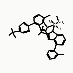 CC1=Cc2c(-c3ccc(C(C)(C)C)cc3)ccc(C)c2[CH]1[Zr]([Cl])([Cl])([CH]1C(C(C)C)=Cc2c(-c3ccccc3C)cccc21)[SiH](C)C